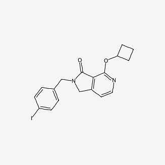 O=C1c2c(ccnc2OC2CCC2)CN1Cc1ccc(I)cc1